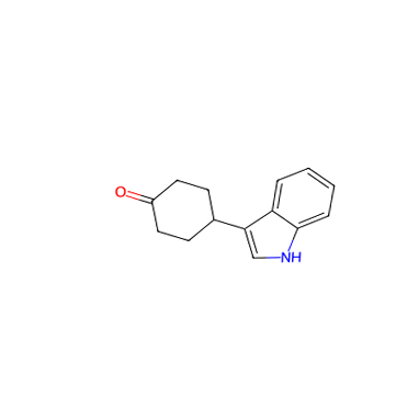 O=C1CCC(c2c[nH]c3ccccc23)CC1